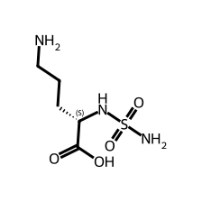 NCCC[C@H](NS(N)(=O)=O)C(=O)O